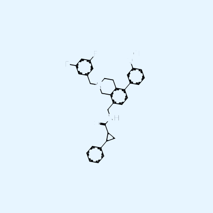 COc1cccc(-c2ccc(CNC(=O)C3CC3c3ccccc3)c3c2CCN(Cc2cc(F)cc(F)c2)C3)c1